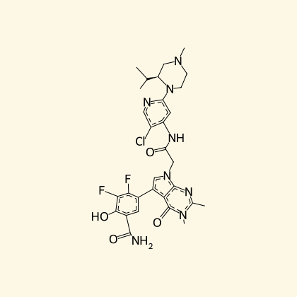 Cc1nc2c(c(-c3cc(C(N)=O)c(O)c(F)c3F)cn2CC(=O)Nc2cc(N3CCN(C)C[C@@H]3C(C)C)ncc2Cl)c(=O)n1C